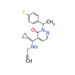 C#CCNC(=C1CC1)c1ccnn(C(C)c2ccc(F)cc2)c1=O